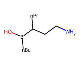 CCCCB(O)C(CCC)CCN